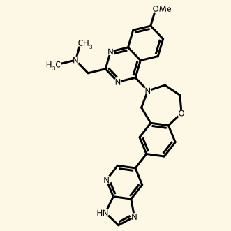 COc1ccc2c(N3CCOc4ccc(-c5cnc6[nH]cnc6c5)cc4C3)nc(CN(C)C)nc2c1